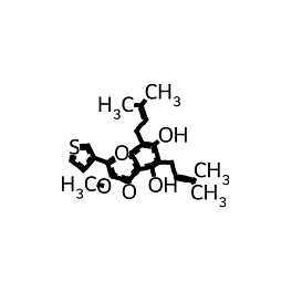 COc1c(-c2ccsc2)oc2c(CC=C(C)C)c(O)c(CC=C(C)C)c(O)c2c1=O